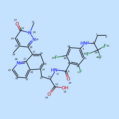 CCC(Nc1cc(F)c(C(=O)NC(Cc2ccc(-c3nn(C)c(=O)cc3C)c3ncccc23)C(=O)O)c(F)c1)C(F)(F)F